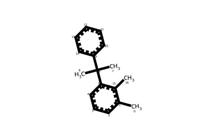 Cc1cccc(C(C)(C)c2ccccc2)c1C